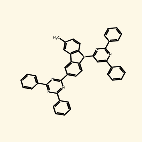 Cc1ccc2c(c1)c1cc(-c3nc(-c4ccccc4)nc(-c4ccccc4)n3)ccc1n2-c1cc(-c2ccccc2)nc(-c2ccccc2)n1